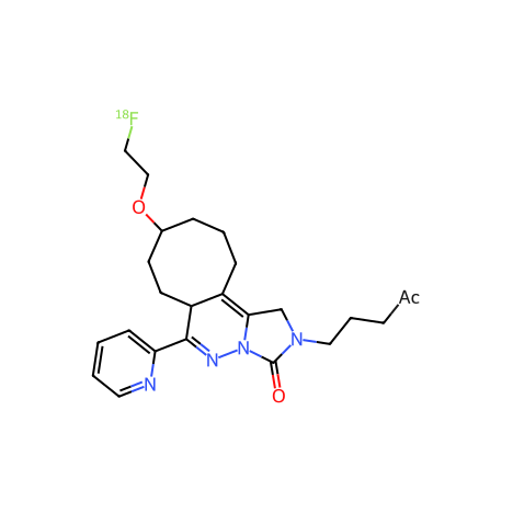 CC(=O)CCCN1CC2=C3CCCC(OCC[18F])CCC3C(c3ccccn3)=NN2C1=O